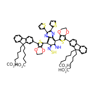 N=C1C(c2sc(-c3ccc4c(c3)C(CCCCCC(=O)O)(CCCCCC(=O)O)c3ccccc3-4)c3c2OCCO3)=c2nc(-c3cccs3)c(-c3cccs3)nc2=C(c2sc(-c3ccc4c(c3)C(CCCCCC(=O)O)(CCCCCC(=O)O)c3ccccc3-4)c3c2OCCO3)/C1=N/S